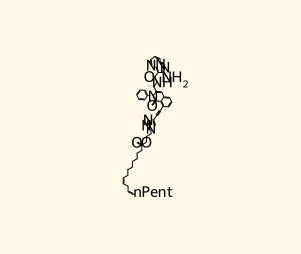 CCCCC/C=C\C/C=C\CCCCCCCC(=O)OCCn1cc(C#Cc2cccc3cc([C@H](C)NC(=O)c4c(N)nn5cccnc45)n(-c4ccccc4)c(=O)c23)nn1